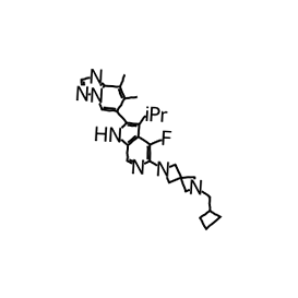 Cc1c(-c2[nH]c3cnc(N4CC5(CN(CC6CCC6)C5)C4)c(F)c3c2C(C)C)cn2ncnc2c1C